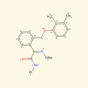 CCNC(=O)C(=NOC)c1ccccc1COc1cccc(C)c1C